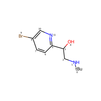 CC(C)(C)NCC(O)c1ccc(Br)cn1